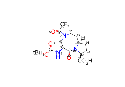 CC(C)(C)OC(=O)N[C@H]1CN(C(=O)C(F)(F)F)CC[C@H]2CC[C@@H](C(=O)O)N2C1=O